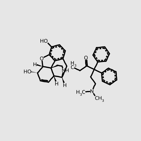 CCC(=O)C(CCN(C)C)(c1ccccc1)c1ccccc1.Oc1ccc2c3c1O[C@H]1[C@@H](O)C=C[C@H]4[C@@H](C2)NCC[C@@]341